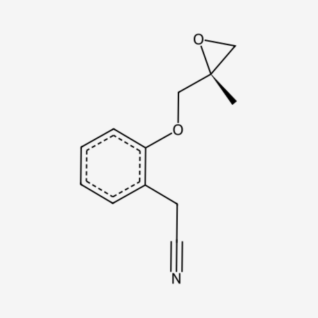 C[C@]1(COc2ccccc2CC#N)CO1